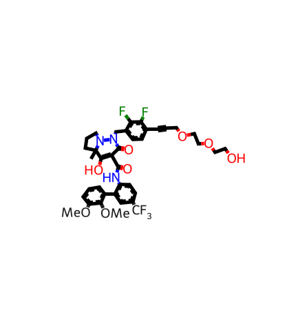 COc1cccc(-c2cc(C(F)(F)F)ccc2NC(=O)C2=C(O)C3(C)CCCN3N(Cc3ccc(C#CCOCCOCCO)c(F)c3F)C2=O)c1OC